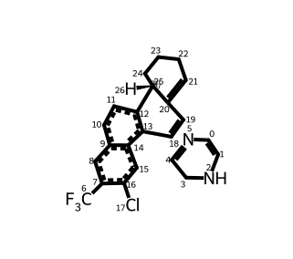 C1=CNCC=N1.FC(F)(F)c1cc2ccc3c(c2cc1Cl)C=CC1=CCCC[C@H]13